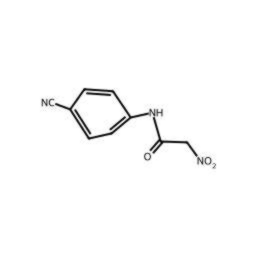 N#Cc1ccc(NC(=O)C[N+](=O)[O-])cc1